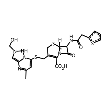 CC1=NC2=CN(CO)NN2C(SCC2=C(C(=O)O)N3C(=O)C(NC(=O)Cc4cccs4)[C@H]3SC2)=C1